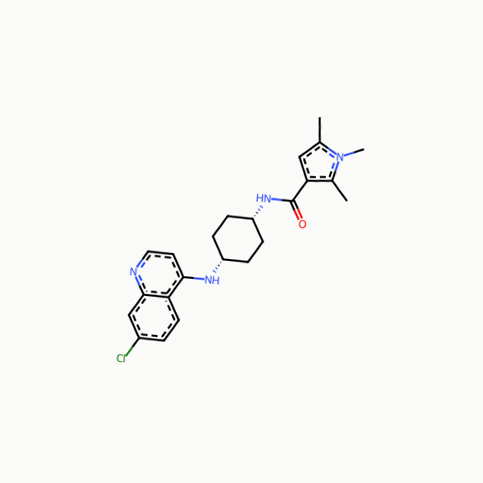 Cc1cc(C(=O)N[C@H]2CC[C@@H](Nc3ccnc4cc(Cl)ccc34)CC2)c(C)n1C